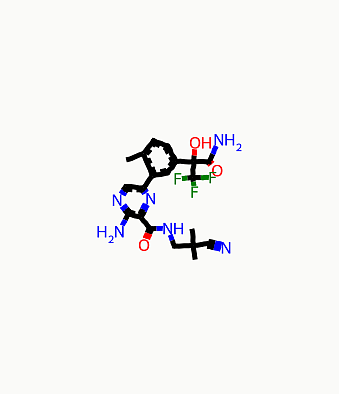 Cc1ccc(C(O)(C(N)=O)C(F)(F)F)cc1-c1cnc(N)c(C(=O)NCC(C)(C)C#N)n1